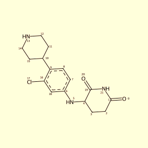 O=C1CCC(Nc2ccc(C3CCNCC3)c(Cl)c2)C(=O)N1